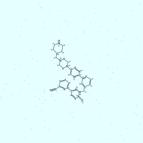 N#Cc1cccc(-c2ccc(=O)n(Cc3cccc(-c4ncc(N5CCN(CC6CCNCC6)CC5)cn4)c3)n2)c1